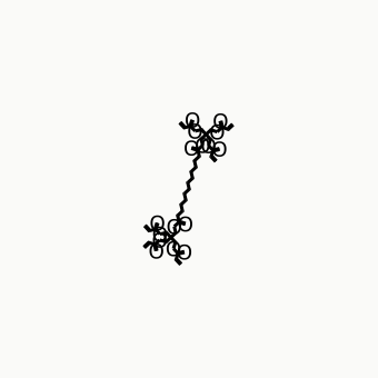 C=CC(=O)OCC(COC(=O)C=C)(COC(=O)C=C)COC(=O)CCCCCCCCCCCCC(=O)OCC(COC(=O)C=C)(COC(=O)C=C)COC(=O)C=C